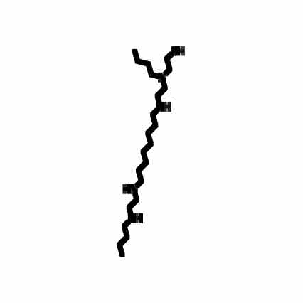 CCCCNCCNCCCCCCCCNCCN(CCS)CCCC